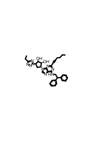 CCCCC#Cc1nc(NCC(c2ccccc2)c2ccccc2)c2ncn([C@@H]3CC(n4nnc(CC)n4)[C@@H](O)[C@H]3O)c2n1